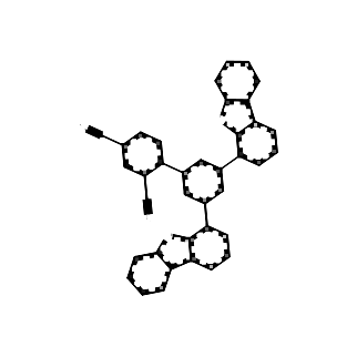 N#Cc1ccc(-c2cc(-c3cccc4c3oc3ccccc34)cc(-c3cccc4c3sc3ccccc34)c2)c(C#N)c1